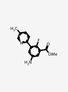 COC(=O)c1cc(N)cc(-c2ccc(C)cn2)c1F